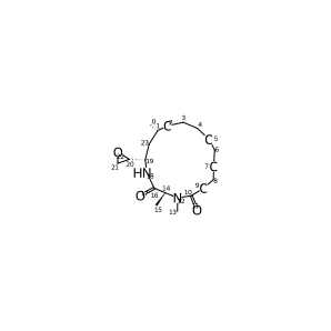 C[C@@H]1CCCCCCCCC(=O)N(C)[C@@H](C)C(=O)N[C@H](C2CO2)C1